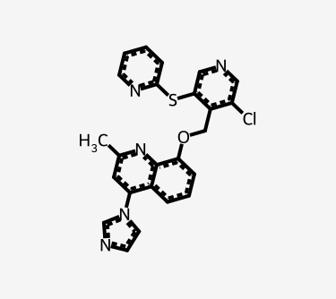 Cc1cc(-n2ccnc2)c2cccc(OCc3c(Cl)cncc3Sc3ccccn3)c2n1